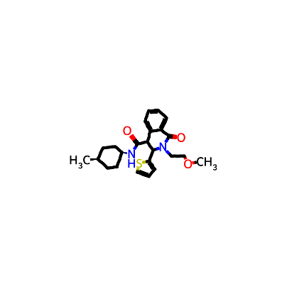 COCCN1C(=O)c2ccccc2C(C(=O)N[C@H]2CC[C@H](C)CC2)C1c1cccs1